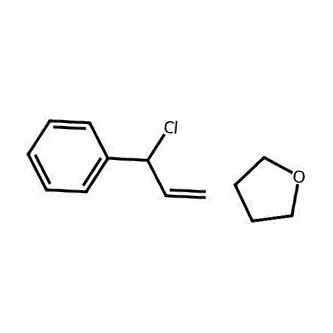 C1CCOC1.C=CC(Cl)c1ccccc1